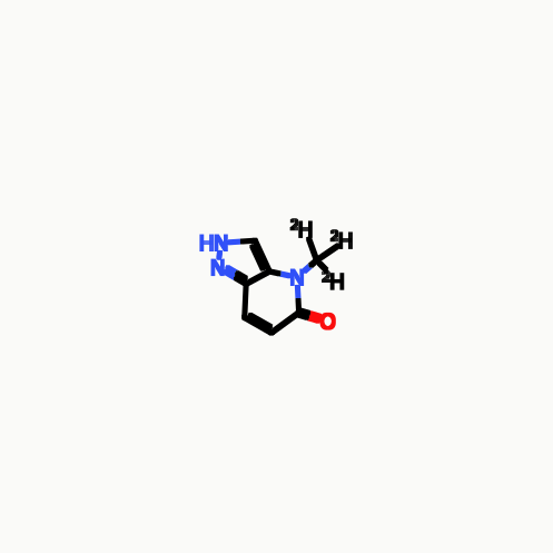 [2H]C([2H])([2H])n1c(=O)ccc2n[nH]cc21